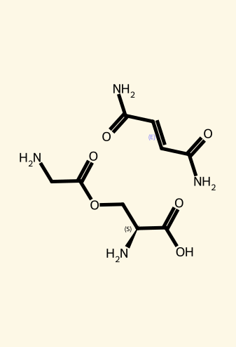 NC(=O)/C=C/C(N)=O.NCC(=O)OC[C@H](N)C(=O)O